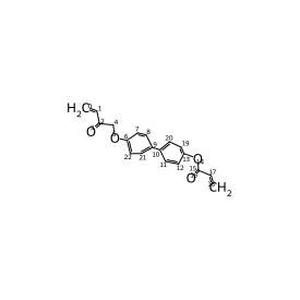 C=CC(=O)COc1ccc(-c2ccc(OC(=O)C=C)cc2)cc1